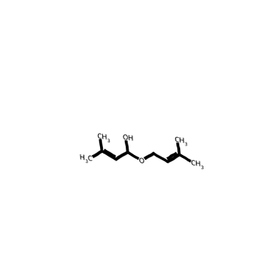 CC(C)=CCOC(O)C=C(C)C